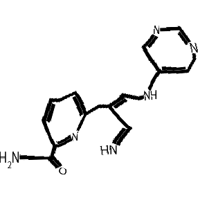 N=C/C(=C\Nc1cncnc1)c1cccc(C(N)=O)n1